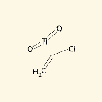 C=CCl.[O]=[Ti]=[O]